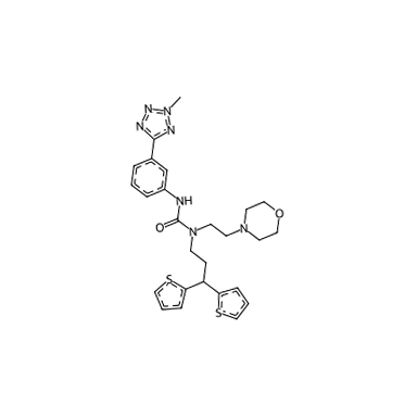 Cn1nnc(-c2cccc(NC(=O)N(CCC(c3cccs3)c3cccs3)CCN3CCOCC3)c2)n1